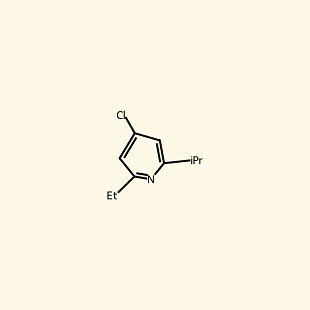 CCc1cc(Cl)cc(C(C)C)n1